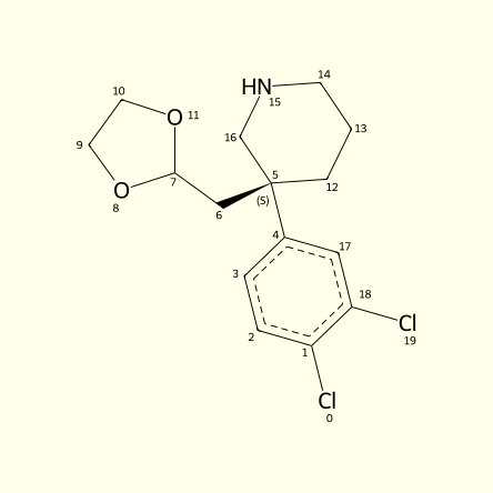 Clc1ccc([C@@]2(CC3OCCO3)CCCNC2)cc1Cl